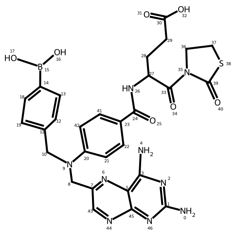 Nc1nc(N)c2nc(CN(Cc3ccc(B(O)O)cc3)c3ccc(C(=O)NC(CCC(=O)O)C(=O)N4CCSC4=O)cc3)cnc2n1